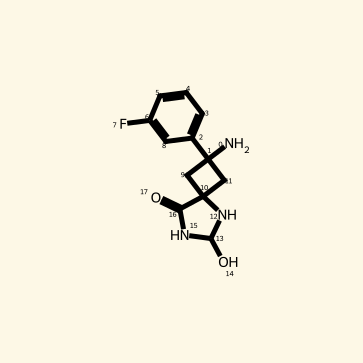 NC1(c2cccc(F)c2)CC2(C1)NC(O)NC2=O